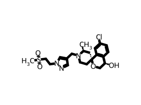 C[C@H]1C[C@@]2(CCN1Cc1cnn(CCS(C)(=O)=O)c1)OC[C@H](O)c1ccc(Cl)cc12